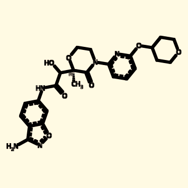 C[C@]1(C(O)C(=O)Nc2ccc3c(N)noc3c2)OCCN(c2cccc(OC3CCOCC3)n2)C1=O